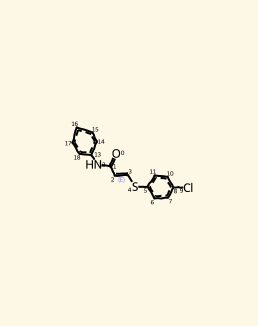 O=C(/C=C/Sc1ccc(Cl)cc1)Nc1ccccc1